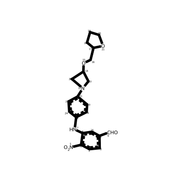 O=Cc1ccc([N+](=O)[O-])c(Nc2ccc(N3CC(OCC4CCCO4)C3)cc2)c1